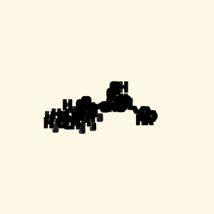 CCC(C)(CCC(C)(C)C)OCC(C)(C)C(=O)NCCCOc1ccc([C@H](CC(=O)O)N2CCN(CCCc3ccc4c(n3)NCCC4)C2=O)cn1